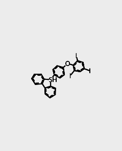 Ic1cc(I)c(Oc2ccc([SH]3c4ccccc4-c4ccccc43)cc2)c(I)c1